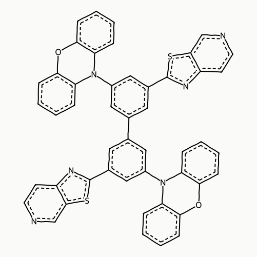 c1ccc2c(c1)Oc1ccccc1N2c1cc(-c2cc(-c3nc4ccncc4s3)cc(N3c4ccccc4Oc4ccccc43)c2)cc(-c2nc3ccncc3s2)c1